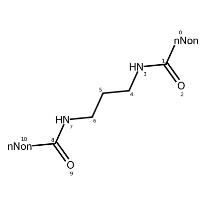 CCCCCCCCCC(=O)NCCCNC(=O)CCCCCCCCC